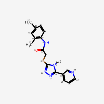 CCn1c(SCC(=O)Nc2ccc(C)cc2C)nnc1-c1cccnc1